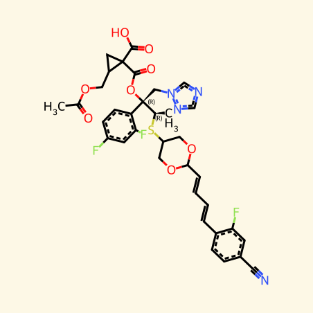 CC(=O)OCC1CC1(C(=O)O)C(=O)O[C@@](Cn1cncn1)(c1ccc(F)cc1F)[C@@H](C)SC1COC(C=CC=Cc2ccc(C#N)cc2F)OC1